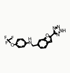 FC(F)(F)Oc1ccc(NCc2ccc3cc(-c4nn[nH]n4)oc3c2)cc1